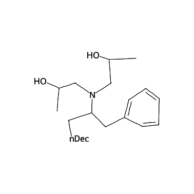 CCCCCCCCCCCC(Cc1ccccc1)N(CC(C)O)CC(C)O